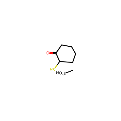 CS(=O)(=O)O.O=C1CCCCC1S